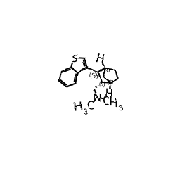 CN(C)C[C@H]1[C@H]2CC[C@H](C2)[C@@H]1c1csc2ccccc12